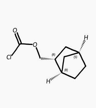 O=C(Cl)OC[C@@H]1C[C@H]2CC[C@@H]1C2